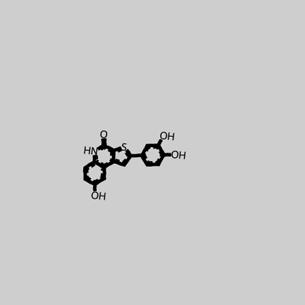 O=c1[nH]c2ccc(O)cc2c2cc(-c3ccc(O)c(O)c3)sc12